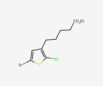 CCOC(=O)CCCCc1cc(Br)sc1Cl